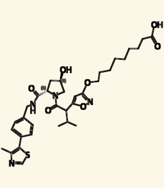 Cc1ncsc1-c1ccc(CNC(=O)[C@@H]2C[C@@H](O)CN2C(=O)C(c2cc(OCCCCCCCCC(=O)O)no2)C(C)C)cc1